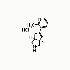 Cc1ncccc1C1=C[C@H]2CNC[C@H]2C1.Cl